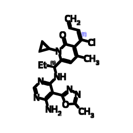 C=C/C=C(/Cl)c1c(C)cc([C@H](CC)Nc2ncnc(N)c2-c2nnc(C)o2)n(C2CC2)c1=O